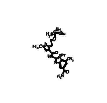 CCCn1c(NC(=O)c2cc(C)nn2CCO[Si](C)(C)C(C)(C)C)nc2cc(C(N)=O)cc(C)c21